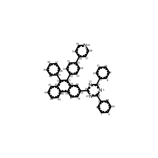 c1ccc(-c2nc(-c3ccccc3)nc(-c3ccc4c(c3)c(-c3ccc(-c5ccncc5)cc3)c(-c3ccccc3)c3ccccc34)n2)cc1